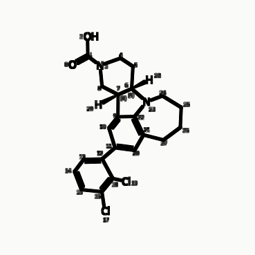 O=C(O)N1CC[C@H]2[C@@H](C1)c1cc(-c3cccc(Cl)c3Cl)cc3c1N2CCCC3